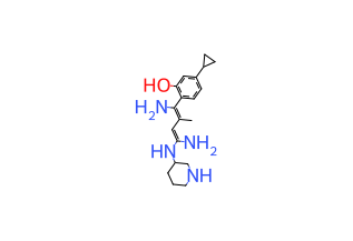 CC(/C=C(\N)NC1CCCNC1)=C(/N)c1ccc(C2CC2)cc1O